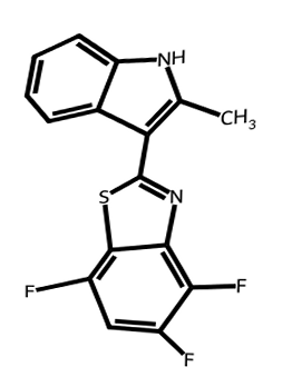 Cc1[nH]c2ccccc2c1-c1nc2c(F)c(F)cc(F)c2s1